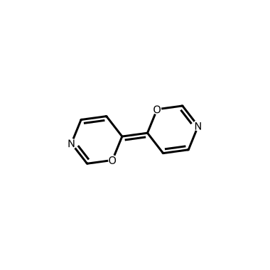 C1=CC(=C2C=CN=CO2)OC=N1